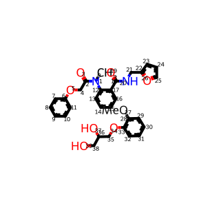 CN(C(=O)COc1ccccc1)c1ccccc1C(=O)NCc1ccco1.COc1ccccc1OCC(O)CO